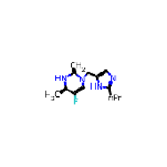 C=C1NC(=C)N(Cc2cnc(CCC)[nH]2)C=C1F